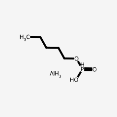 CCCCCO[PH](=O)O.[AlH3]